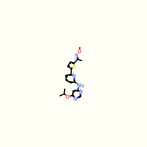 CO/N=C(\C)c1ccc(-c2cccc(Nc3cc(OC(C)C)ncn3)n2)s1